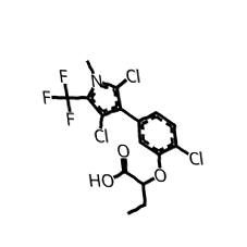 CCC(Oc1cc(-c2c(Cl)c(C(F)(F)F)n(C)c2Cl)ccc1Cl)C(=O)O